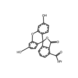 CCCC(=O)c1cccc2c1C(=O)OC21c2ccc(O)cc2Oc2cc(O)ccc21